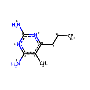 Cc1c(N)nc(N)nc1CCC(F)(F)F